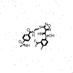 CS(=N)(=O)c1ccc(C(=O)NCCSc2nonc2C(=N)N(O)c2ccc(F)c(C(F)F)c2)cc1